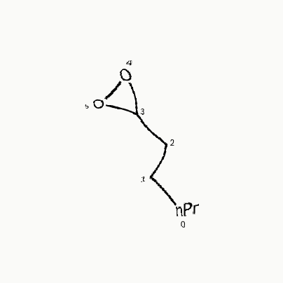 CCCCCC1OO1